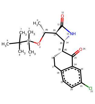 C[C@@H](O[Si](C)(C)C(C)(C)C)[C@H]1C(=O)N[C@@H]1[C@H]1CCc2ccc(Cl)cc2C1=O